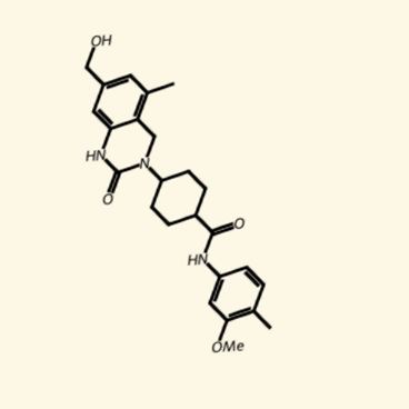 COc1cc(NC(=O)C2CCC(N3Cc4c(C)cc(CO)cc4NC3=O)CC2)ccc1C